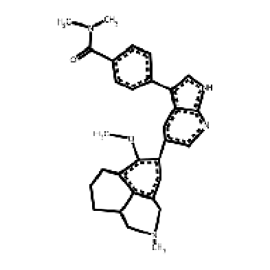 COc1c(-c2cnc3[nH]cc(-c4ccc(C(=O)N(C)C)cc4)c3c2)cc2c3c1CCCC3CN(C)C2